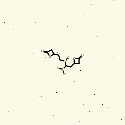 CC[S+]([O-])C(CC1CC(=O)O1)[S+]([O-])CCC1CC(=O)O1